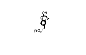 CCOC(=O)Cc1ccc2c(c1)N(C)CC(O)O2